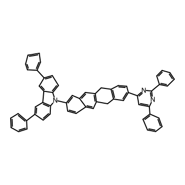 c1ccc(-c2ccc3c(c2)c2cc(-c4ccccc4)ccc2n3-c2ccc3cc4c(cc3c2)Cc2ccc(-c3cc(-c5ccccc5)nc(-c5ccccc5)n3)cc2C4)cc1